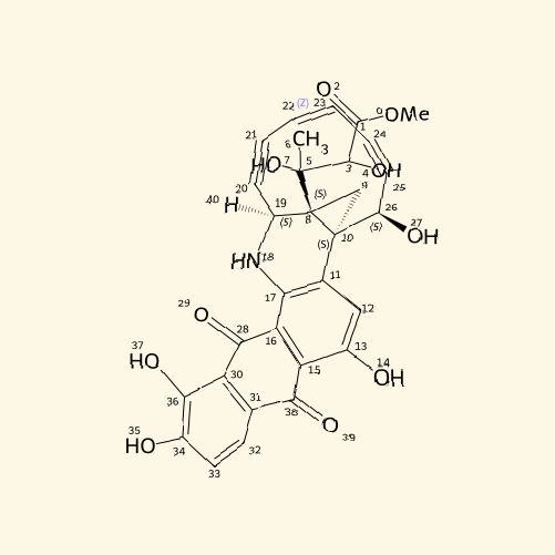 COC(=O)C(O)C(C)(O)[C@@]12C[C@]13c1cc(O)c4c(c1N[C@H]2C#C/C=C\C#C[C@H]3O)C(=O)c1c(ccc(O)c1O)C4=O